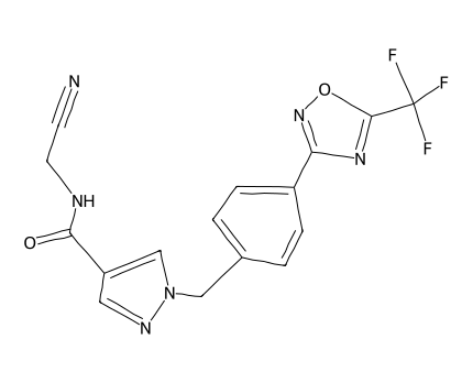 N#CCNC(=O)c1cnn(Cc2ccc(-c3noc(C(F)(F)F)n3)cc2)c1